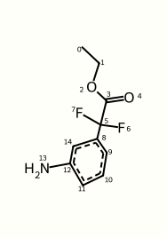 CCOC(=O)C(F)(F)c1cccc(N)c1